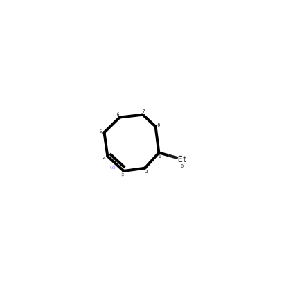 CCC1C/C=C\CCCC1